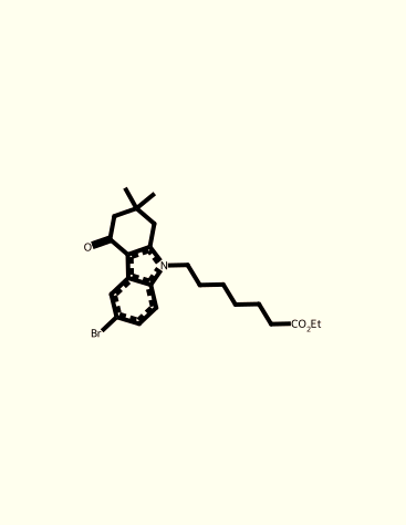 CCOC(=O)CCCCCCn1c2c(c3cc(Br)ccc31)C(=O)CC(C)(C)C2